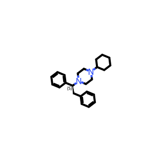 c1ccc(C[C@@H](c2ccccc2)N2CCN(C3CCCCC3)CC2)cc1